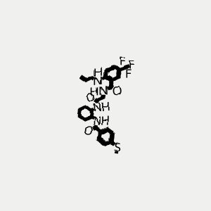 C=CCNc1ccc(C(F)(F)F)cc1C(=O)NCC(=O)NC1CCCCC1NC(=O)c1ccc(SC)cc1